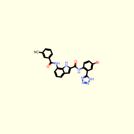 N#Cc1cccc(C(=O)Nc2cccc3cc(C(=O)Nc4ccc(Br)cc4-c4nnn[nH]4)[nH]c23)c1